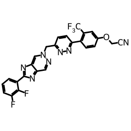 N#CCOc1ccc(-c2ccc(Cn3cc4nc(-c5cccc(F)c5F)nc-4cn3)nn2)c(C(F)(F)F)c1